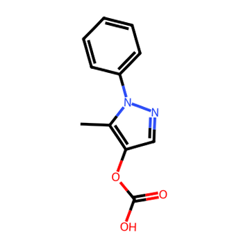 Cc1c(OC(=O)O)cnn1-c1ccccc1